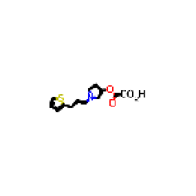 O=C(O)C(=O)O[C@@H]1CCN(CCCc2cccs2)C1